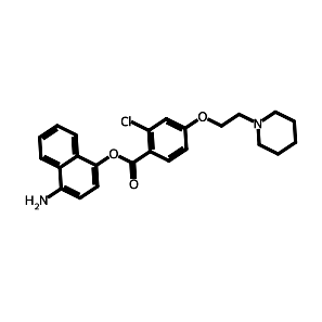 Nc1ccc(OC(=O)c2ccc(OCCN3CCCCC3)cc2Cl)c2ccccc12